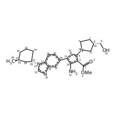 COC(=O)c1c(N2CC[C@H](CO)C2)sc(-c2ccc3c(c2)ncn3[C@H]2CCC[C@H](C)C2)c1N